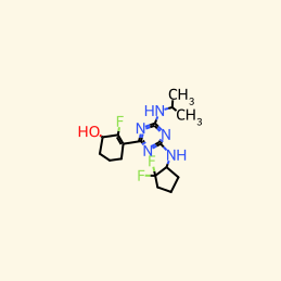 CC(C)Nc1nc(NC2CCCC2(F)F)nc(C2=C(F)C(O)CCC2)n1